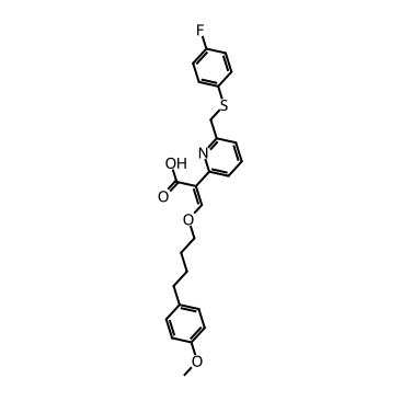 COc1ccc(CCCCOC=C(C(=O)O)c2cccc(CSc3ccc(F)cc3)n2)cc1